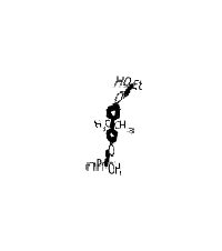 CCCC(O)COc1ccc(C(C)(C)c2ccc(OCC(O)CC)cc2)cc1